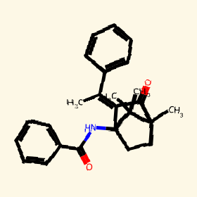 CC(=C1C(=O)C2(C)CCC1(NC(=O)c1ccccc1)C2(C)C)c1ccccc1